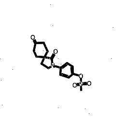 CS(=O)(=O)Oc1ccc(N2CCC3(CCC(=O)CC3)C2=O)cc1